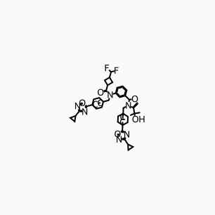 CC(C)(O)C1=COC(c2cccc(N(CC34CCC(c5nc(C6CC6)no5)(CC3)CC4)C(=O)C3CC(C(F)F)C3)c2)N1CC12CCC(c3nc(C4CC4)no3)(CC1)CC2